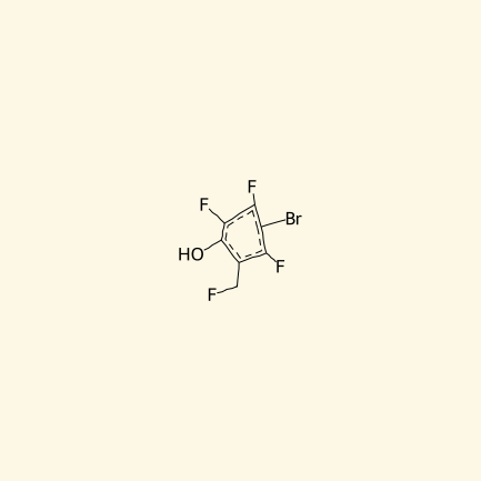 Oc1c(F)c(F)c(Br)c(F)c1CF